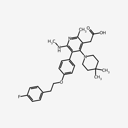 CNc1nc(C)c(CC(=O)O)c(N2CCC(C)(C)CC2)c1-c1ccc(OCCc2ccc(F)cc2)cc1